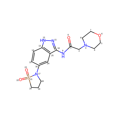 O=C(CN1CCOCC1)Nc1n[nH]c2ccc(N3CCCS3(=O)=O)cc12